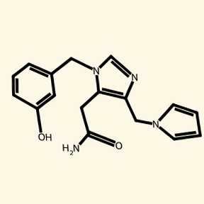 NC(=O)Cc1c(Cn2cccc2)ncn1Cc1cccc(O)c1